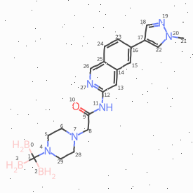 BC(B)(B)N1CCN(CC(=O)Nc2cc3cc(-c4cnn(C)c4)ccc3cn2)CC1